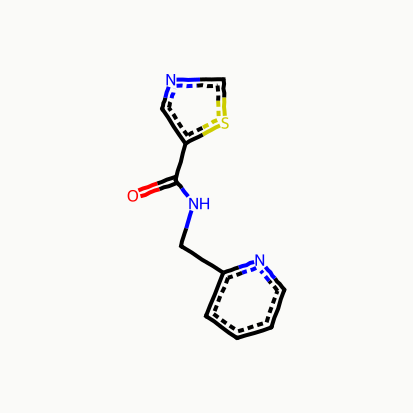 O=C(NCc1ccccn1)c1cncs1